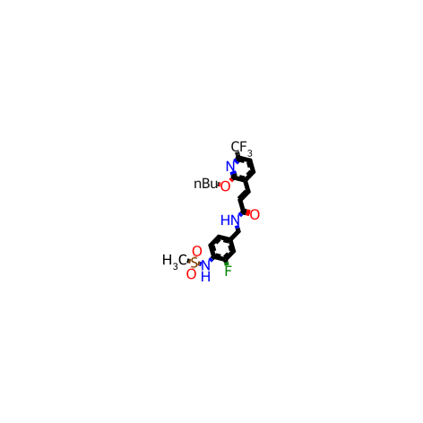 CCCCOc1nc(C(F)(F)F)ccc1/C=C/C(=O)NCc1ccc(NS(C)(=O)=O)c(F)c1